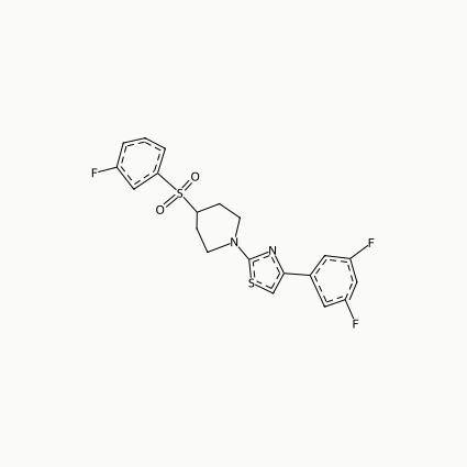 O=S(=O)(c1cccc(F)c1)C1CCN(c2nc(-c3cc(F)cc(F)c3)cs2)CC1